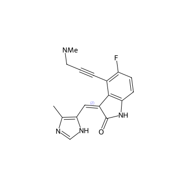 CNCC#Cc1c(F)ccc2c1/C(=C/c1[nH]cnc1C)C(=O)N2